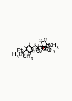 CCC(C)(C)c1ccc(CC(=O)C23CCC(C)(C(=O)O2)C3(C)C)cc1